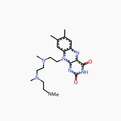 CNCCN(C)CCN(C)CCn1c2nc(=O)[nH]c(=O)c-2nc2cc(C)c(C)cc21